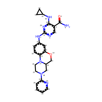 NC(=O)c1cnc(Nc2ccc3c(c2)OCC2CN(c4ccccn4)CCN32)nc1NC1CC1